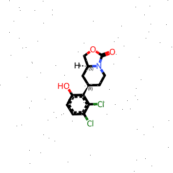 O=C1OC[C@@H]2C[C@H](c3c(O)ccc(Cl)c3Cl)CCN12